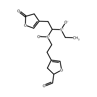 CC[S+]([O-])C(CC1=COC(=O)C1)[S+]([O-])CCC1=COC(C=O)C1